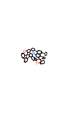 c1ccc(-c2ccc(-c3ccccc3N(c3ccc4c(c3)C3(c5ccccc5Oc5ccccc53)c3ccccc3-4)c3cc4c(c5ccccc35)-c3ccccc3C43c4ccccc4Oc4ccccc43)cc2)cc1